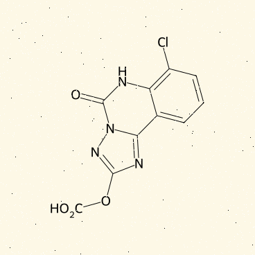 O=C(O)Oc1nc2c3cccc(Cl)c3[nH]c(=O)n2n1